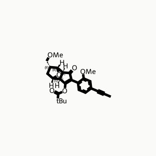 CC#Cc1ccc(C2=C(OC(=O)C(C)(C)C)[C@@H]3[C@H](C2=O)[C@@H]2O[C@H]3C[C@@H]2COC)c(OC)c1